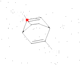 CC1=CC2C(C(=O)O)=C[C@@H]1CC2C(C)C